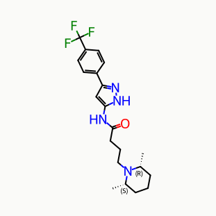 C[C@@H]1CCC[C@H](C)N1CCCC(=O)Nc1cc(-c2ccc(C(F)(F)F)cc2)n[nH]1